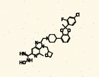 Cc1nc(C(=N)NO)cc2nc(CN3CCC(c4cccc5c4OC(C)(c4ccc(Cl)cc4F)O5)CC3)n(CC3CCO3)c12